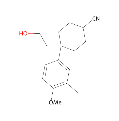 COc1ccc(C2(CCO)CCC(C#N)CC2)cc1C